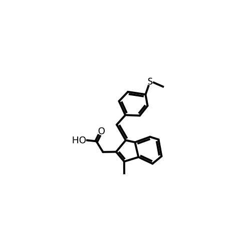 CSc1ccc(/C=C2/C(CC(=O)O)=C(C)c3ccccc32)cc1